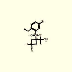 COc1ccc(Br)cc1S(=O)(=O)C1(C(C)(C)O)CC(F)(F)C1